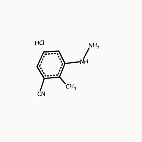 Cc1c(C#N)cccc1NN.Cl